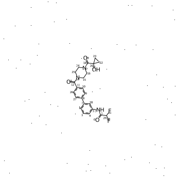 O=C(Nc1cccc(-c2ccc(C(=O)N3CCN(C(=O)C4(O)CC4)CC3)cc2)c1)C(F)F